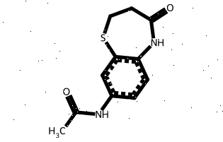 CC(=O)Nc1ccc2c(c1)SCCC(=O)N2